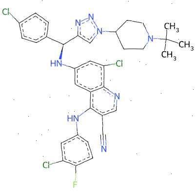 CC(C)(C)N1CCC(n2cc([C@@H](Nc3cc(Cl)c4ncc(C#N)c(Nc5ccc(F)c(Cl)c5)c4c3)c3ccc(Cl)cc3)nn2)CC1